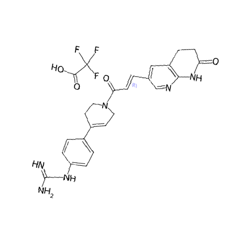 N=C(N)Nc1ccc(C2=CCN(C(=O)/C=C/c3cnc4c(c3)CCC(=O)N4)CC2)cc1.O=C(O)C(F)(F)F